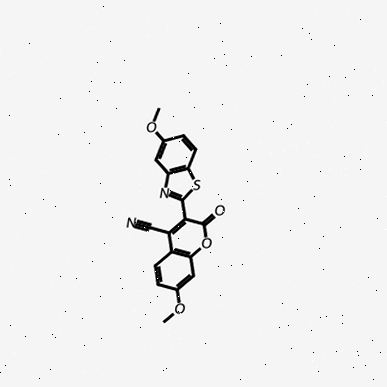 COc1ccc2sc(-c3c(C#N)c4ccc(OC)cc4oc3=O)nc2c1